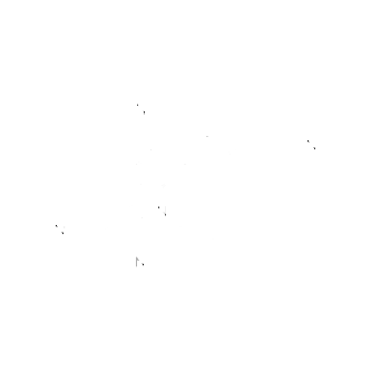 N#Cc1ccc2c(c1)c1cc(C#N)ccc1n2-c1c(C#N)cccc1-c1ccc2oc3c(c2c1)CC(C#N)C=C3